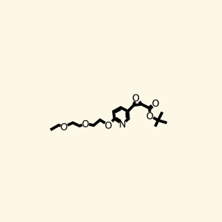 CCOCCOCCOc1ccc(C2OC2C(=O)OC(C)(C)C)cn1